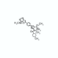 CCOC(=O)c1cn(-c2ccc(-c3cc4ncnc(NC)c4s3)cc2)nc1N(C(=O)C1CCC(C)CC1)C(C)C